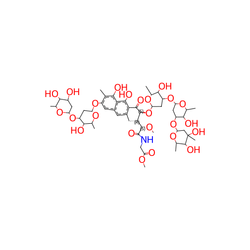 COC(=O)CNC(=O)[C@@H](OC)[C@@H]1Cc2cc3cc(OC4CC(OC5CC(O)C(O)C(C)O5)C(O)C(C)O4)c(C)c(O)c3c(O)c2C(=O)[C@H]1OC1CC(OC2CC(OC3CC(C)(O)C(O)C(C)O3)C(O)C(C)O2)C(O)C(C)O1